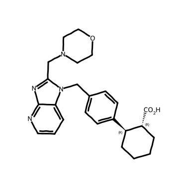 O=C(O)[C@@H]1CCCC[C@H]1c1ccc(Cn2c(CN3CCOCC3)nc3ncccc32)cc1